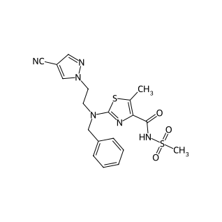 Cc1sc(N(CCn2cc(C#N)cn2)Cc2ccccc2)nc1C(=O)NS(C)(=O)=O